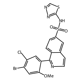 COc1cc(Br)c(Cl)cc1-c1nccc2cc(S(=O)(=O)Nc3nncs3)ccc12